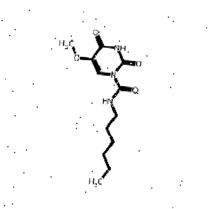 CCCCCCNC(=O)n1cc(OC)c(=O)[nH]c1=O